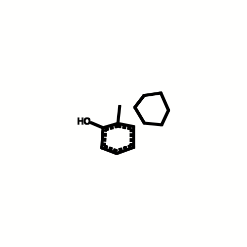 C1CCCCC1.Cc1ccccc1O